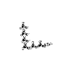 [K+].[O]=[Nb](=[O])[O-].[O]=[Nb](=[O])[O-].[O]=[Nb](=[O])[O-].[O]=[Nb](=[O])[O-].[O]=[Nb](=[O])[O-].[O]=[Nb](=[O])[O-].[Ta+5]